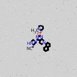 CN1CCCC[C@@H]1COc1nc2c(c(N3CCN[C@@H](CC#N)C3)n1)CCN(c1cccc3ccccc13)C2